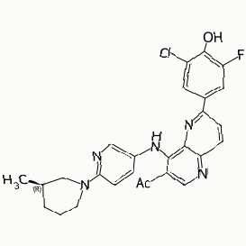 CC(=O)c1cnc2ccc(-c3cc(F)c(O)c(Cl)c3)nc2c1Nc1ccc(N2CCC[C@@H](C)C2)nc1